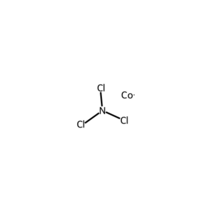 ClN(Cl)Cl.[Co]